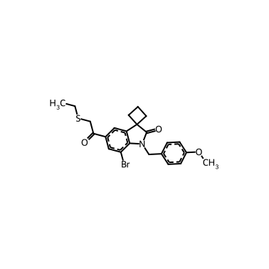 CCSCC(=O)c1cc(Br)c2c(c1)C1(CCC1)C(=O)N2Cc1ccc(OC)cc1